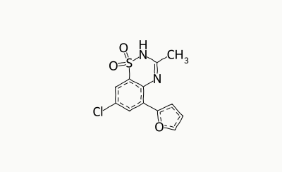 CC1=Nc2c(-c3ccco3)cc(Cl)cc2S(=O)(=O)N1